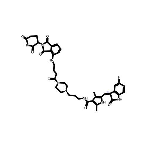 Cc1[nH]c(/C=C2\C(=O)Nc3ccc(F)cc32)c(C)c1C(=O)NCCCN1CCN(C(=O)CCCNc2cccc3c2C(=O)N(C2CCC(=O)NC2=O)C3=O)CC1